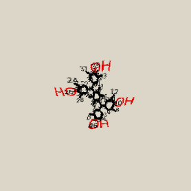 Cc1cc(C(c2cc(C)c(O)c(C)c2)c2c(C)c(C)c(C(c3cc(C)c(O)c(C)c3)c3cc(C)c(O)c(C)c3)c(C)c2C)ccc1O